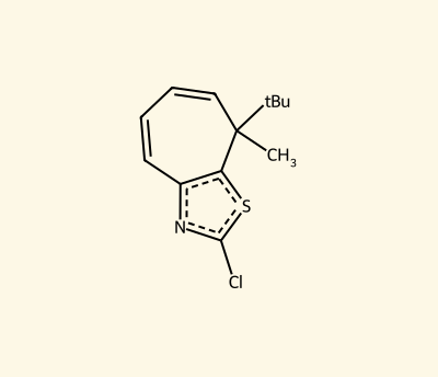 CC(C)(C)C1(C)C=CC=Cc2nc(Cl)sc21